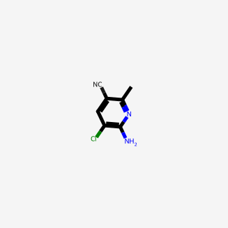 Cc1nc(N)c(Cl)cc1C#N